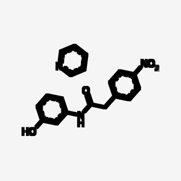 O=C(Cc1ccc([N+](=O)[O-])cc1)Nc1cccc(O)c1.c1ccncc1